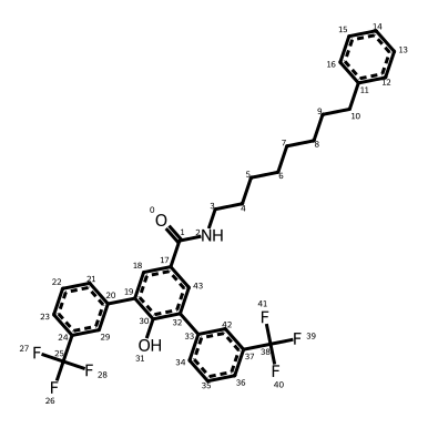 O=C(NCCCCCCCCc1ccccc1)c1cc(-c2cccc(C(F)(F)F)c2)c(O)c(-c2cccc(C(F)(F)F)c2)c1